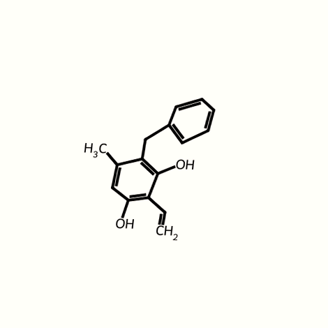 C=Cc1c(O)cc(C)c(Cc2ccccc2)c1O